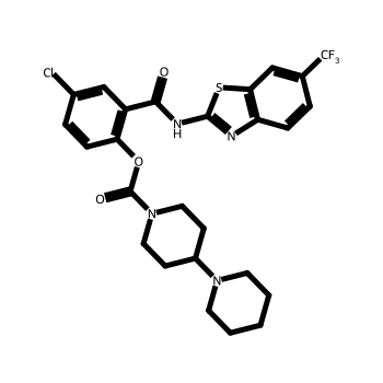 O=C(Nc1nc2ccc(C(F)(F)F)cc2s1)c1cc(Cl)ccc1OC(=O)N1CCC(N2CCCCC2)CC1